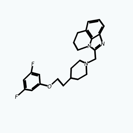 Fc1cc(F)cc(OCCC2CCN(Cc3nc4cccc5c4n3CCC5)CC2)c1